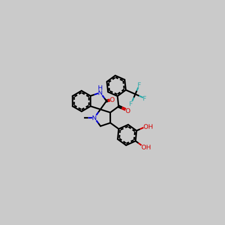 CN1CC(c2ccc(O)c(O)c2)C(C(=O)c2ccccc2C(F)(F)F)C12C(=O)Nc1ccccc12